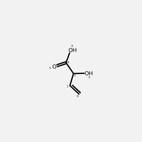 C=CC(O)C(=O)O